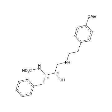 COc1ccc(CCNC[C@H](O)[C@H](Cc2ccccc2)NC(=O)O)cc1